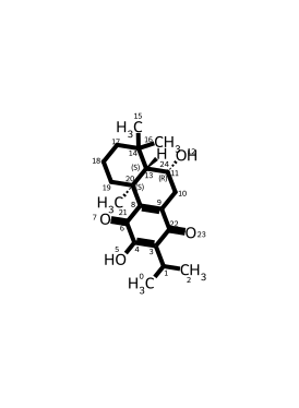 CC(C)C1=C(O)C(=O)C2=C(C[C@@H](O)[C@H]3C(C)(C)CCC[C@]23C)C1=O